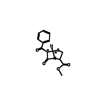 COC(=O)C1CS[C@H]2[C@H](C(=O)c3ccccc3)C(=O)N12